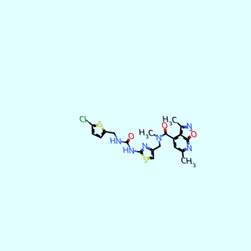 Cc1cc(C(=O)N(C)Cc2csc(NC(=O)NCc3ccc(Cl)s3)n2)c2c(C)noc2n1